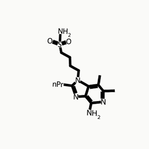 CCCc1nc2c(N)nc(C)c(C)c2n1CCCCS(N)(=O)=O